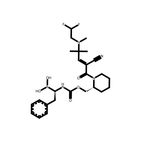 CN(CC(F)F)C(C)(C)/C=C(\C#N)C(=O)N1CCCC[C@@H]1COC(=O)N[C@@H](Cc1ccccc1)B(O)O